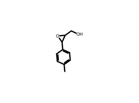 Cc1ccc(C2OC2CO)cc1